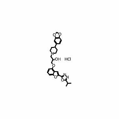 CC(C)c1nnc(-c2cc3c(OC[C@H](O)CN4CCC(c5ccc6c(c5)OCO6)CC4)cccc3o2)o1.Cl